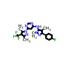 Cc1nn(-c2cc(Nc3c(C)c(-c4ccc(F)cc4)nn3C)ncn2)c(C)c1C(F)(F)F